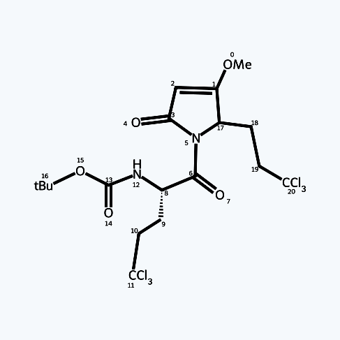 COC1=CC(=O)N(C(=O)[C@H](CCC(Cl)(Cl)Cl)NC(=O)OC(C)(C)C)C1CCC(Cl)(Cl)Cl